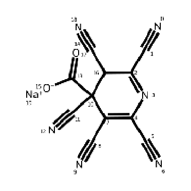 N#CC1=NC(C#N)=C(C#N)C(C#N)(C(=O)[O-])C1C#N.[Na+]